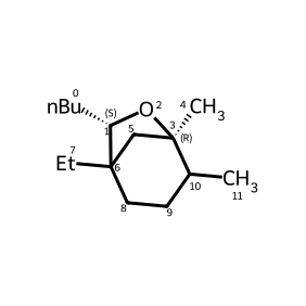 CCCC[C@@H]1O[C@]2(C)CC1(CC)CCC2C